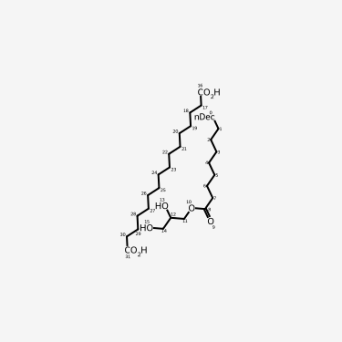 CCCCCCCCCCCCCCCCCC(=O)OCC(O)CO.O=C(O)CCCCCCCCCCCCCCC(=O)O